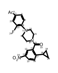 CC(=O)c1ccc(N2CCN(C(=O)c3cc([N+](=O)[O-])ccc3C3CC3)CC2)c(F)c1